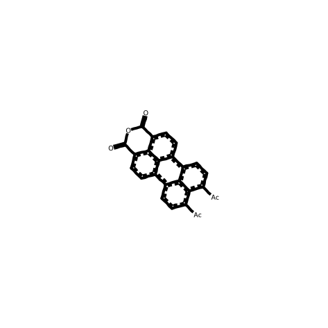 CC(=O)c1ccc2c3ccc4c5c(ccc(c6ccc(C(C)=O)c1c26)c53)C(=O)OC4=O